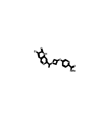 CCc1cc2cnc(C(C)N3CC(Oc4ccc(C(=O)NC)nc4)C3)cc2[nH]c1=O